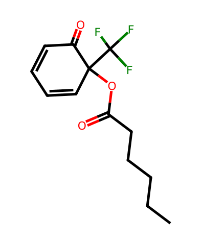 CCCCCC(=O)OC1(C(F)(F)F)C=CC=CC1=O